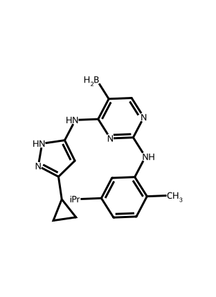 Bc1cnc(Nc2cc(C(C)C)ccc2C)nc1Nc1cc(C2CC2)n[nH]1